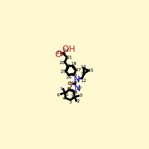 CC1(C)CCC(C)(C)c2sc(N(CC3CC3)c3ccc(CCC(=O)O)cc3)nc21